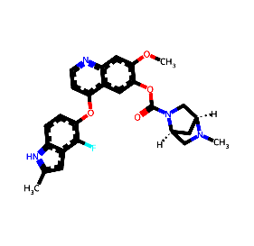 COc1cc2nccc(Oc3ccc4[nH]c(C)cc4c3F)c2cc1OC(=O)N1C[C@@H]2C[C@H]1CN2C